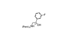 CCC[C@@H](C)NC[C@H](O)c1cccc(F)c1